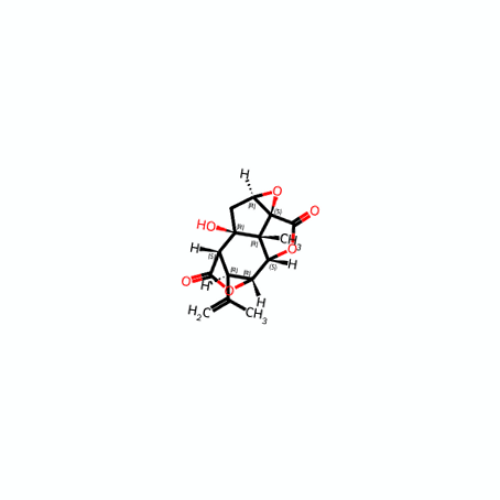 C=C(C)[C@@H]1[C@H]2OC(=O)[C@@H]1[C@]1(O)C[C@H]3O[C@]34C(=O)O[C@H]2[C@]14C